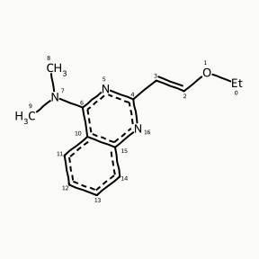 CCOC=Cc1nc(N(C)C)c2ccccc2n1